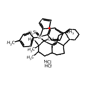 Cc1cc[c]([Zr](=[SiH2])([C]2=CC=CC2)([c]2ccc(C)cc2)[C]2(C)C3=C4CC5=CCCCC5C4CCC3CC(C)C2(C)C)cc1.Cl.Cl